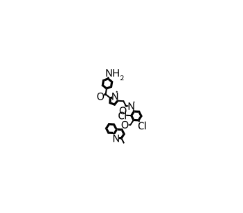 Cc1cc(OCc2c(Cl)ccc(N(C)C(=O)Cc3ccc(C(=O)c4ccc(N)cc4)n3C)c2Cl)c2ccccc2n1